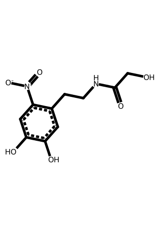 O=C(CO)NCCc1cc(O)c(O)cc1[N+](=O)[O-]